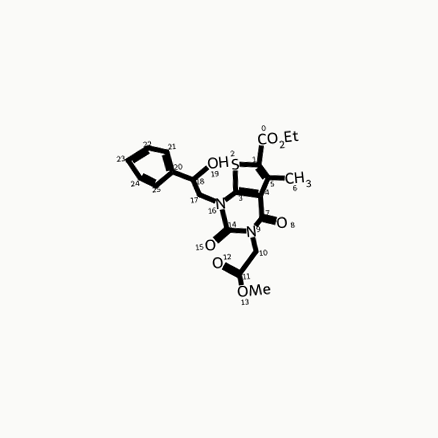 CCOC(=O)c1sc2c(c1C)c(=O)n(CC(=O)OC)c(=O)n2CC(O)c1ccccc1